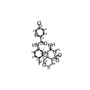 CN1C(=N)N[C@@]2(c3cc(NC(=O)c4ccc(Cl)cn4)ccc3F)COCCC2S1(=O)=O